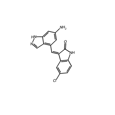 Nc1cc(C=C2C(=O)Nc3ccc(Cl)cc32)c2cn[nH]c2c1